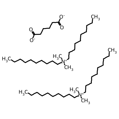 CCCCCCCCCC[N+](C)(C)CCCCCCCCCC.CCCCCCCCCC[N+](C)(C)CCCCCCCCCC.O=C([O-])CCCCC(=O)[O-]